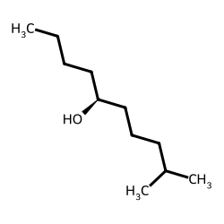 CCCC[C@H](O)CCCC(C)C